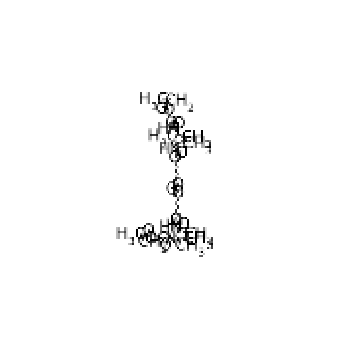 C=C(C)C(=O)OCCOC(=O)NCC1(C)CC(NC(=O)OCCCCCCOC(=O)OCCCCCCOC(=O)NC2CC(C)(C)CC(C)(CNC(=O)OCCOC(=O)C(=C)C)C2)CC(C)(C)C1